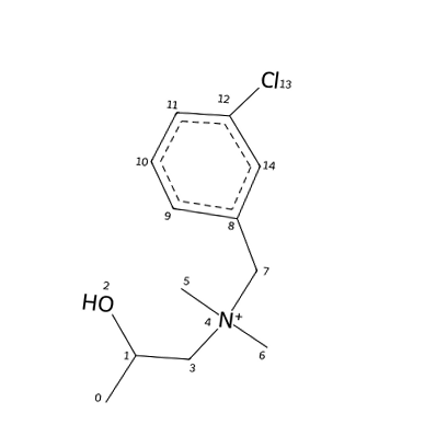 CC(O)C[N+](C)(C)Cc1cccc(Cl)c1